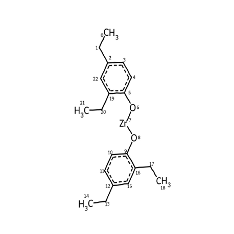 CCc1ccc([O][Zr][O]c2ccc(CC)cc2CC)c(CC)c1